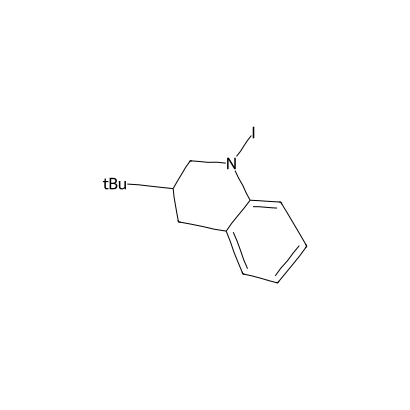 CC(C)(C)C1Cc2ccccc2N(I)C1